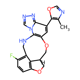 Cc1ncoc1-c1cc2c(n3cnnc13)NCc1c(F)ccc3c1[C@H](CO3)CO2